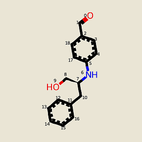 O=Cc1ccc(N[C@H](CO)Cc2ccccc2)cc1